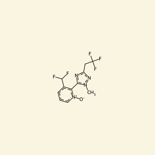 Cn1nc(CC(F)(F)F)nc1-c1c(C(F)F)ccc[n+]1[O-]